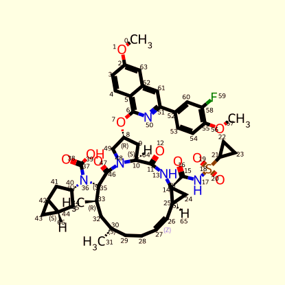 COc1ccc2c(O[C@@H]3C[C@H]4C(=O)N[C@]5(C(=O)NS(=O)(=O)C6CC6)C[C@H]5/C=C\CC[C@H](C)C[C@@H](C)[C@H](N(C(=O)O)[C@H]5CC6C[C@H]6C5)C(=O)N4C3)nc(-c3ccc(OC)c(F)c3)cc2c1